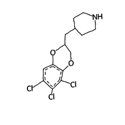 Clc1cc2c(c(Cl)c1Cl)OCC(CC1CCNCC1)O2